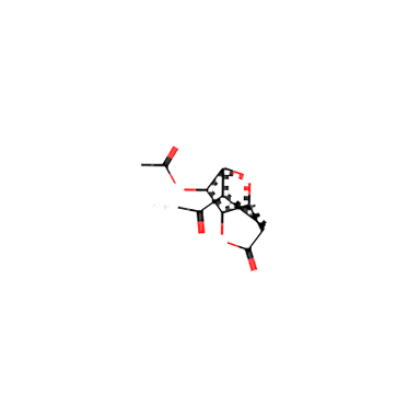 CCC(=O)Oc1c2c3oc1c(C(=O)OC)c3C(=O)O2